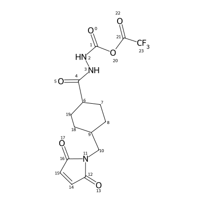 O=C(NNC(=O)C1CCC(CN2C(=O)C=CC2=O)CC1)OC(=O)C(F)(F)F